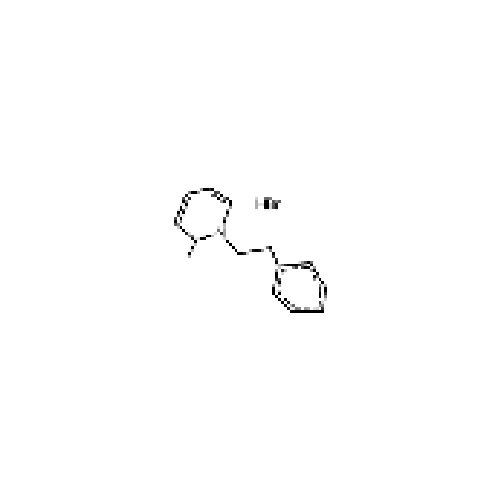 Br.CC1C=CC=CN1CCc1ccccc1